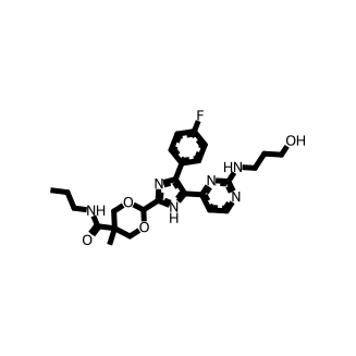 CCCNC(=O)C1(C)COC(c2nc(-c3ccc(F)cc3)c(-c3ccnc(NCCCO)n3)[nH]2)OC1